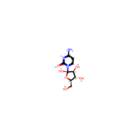 Nc1ccn([C@@]2(O)O[C@H](CO)[C@@H](O)[C@@H]2O)c(=O)n1